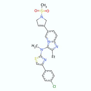 CCc1nc2ccc(C3=CCN(S(C)(=O)=O)C3)cn2c1N(C)c1nc(-c2ccc(Cl)cc2)cs1